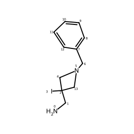 NCC1(I)CN(Cc2ccccc2)C1